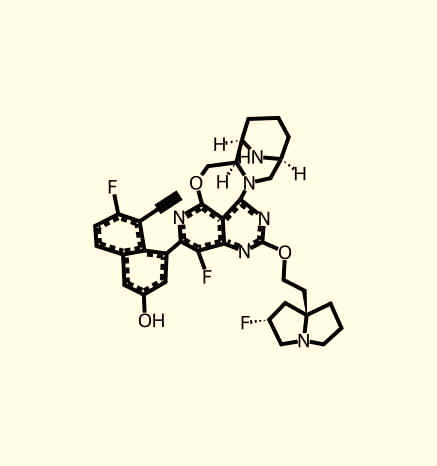 C#Cc1c(F)ccc2cc(O)cc(-c3nc4c5c(nc(OCC[C@@]67CCCN6C[C@H](F)C7)nc5c3F)N3C[C@@H]5CCC[C@@H](N5)[C@@H]3CO4)c12